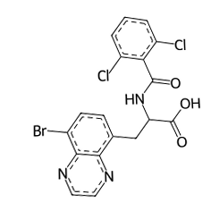 O=C(NC(Cc1ccc(Br)c2nccnc12)C(=O)O)c1c(Cl)cccc1Cl